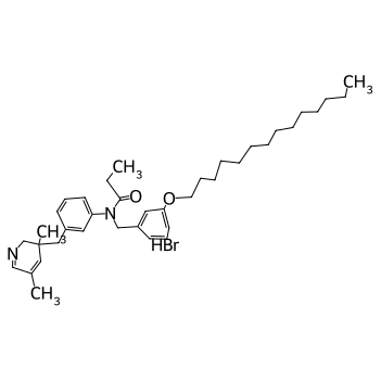 Br.CCCCCCCCCCCCCCOc1cccc(CN(C(=O)CC)c2cccc(CC3(C)C=C(C)C=NC3)c2)c1